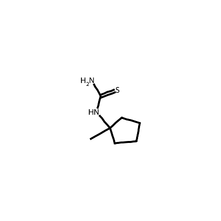 CC1(NC(N)=S)CCCC1